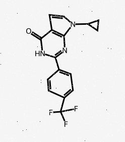 O=c1[nH]c(-c2ccc(C(F)(F)F)cc2)nc2c1ccn2C1CC1